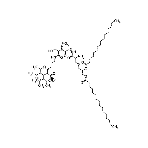 CCCCCCCCCCCCCCCC(=O)OCC(CSCC(N)C(=O)N[C@@H](CO)C(=O)NC(CO)C(=O)NCCCCC(C(N)=O)C(C(C(C)C)C(C)C)C(C(C)C)C(C)C)OC(=O)CCCCCCCCCCCCCCC